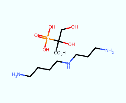 NCCCCNCCCN.O=C(O)C(O)(CO)P(=O)(O)O